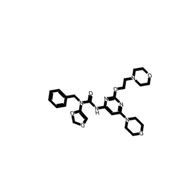 O=C(Nc1cc(N2CCOCC2)nc(OCCN2CCOCC2)n1)N(Cc1ccccc1)C1=COCO1